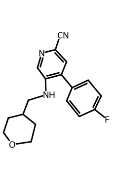 N#Cc1cc(-c2ccc(F)cc2)c(NCC2CCOCC2)cn1